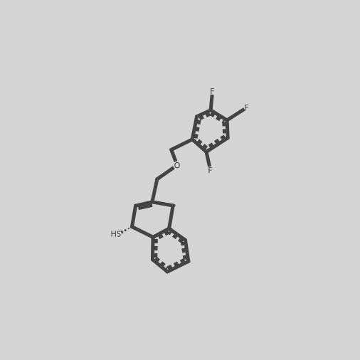 Fc1cc(F)c(COCC2=C[C@@H](S)c3ccccc3[CH]2)cc1F